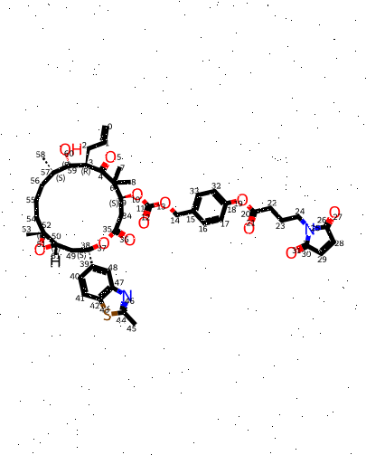 C=CC[C@H]1C(=O)C(C)(C)[C@@H](OC(=O)OCc2ccc(OC(=O)CCCN3C(=O)C=CC3=O)cc2)CC(=O)O[C@H](c2ccc3sc(C)nc3c2)C[C@@H]2O[C@]2(C)CCC[C@H](C)[C@@H]1O